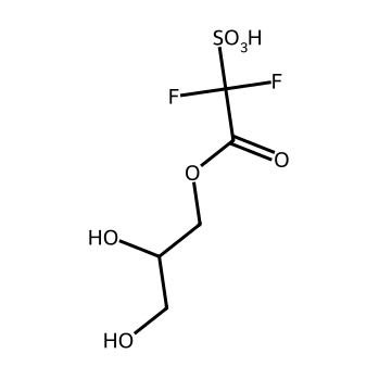 O=C(OCC(O)CO)C(F)(F)S(=O)(=O)O